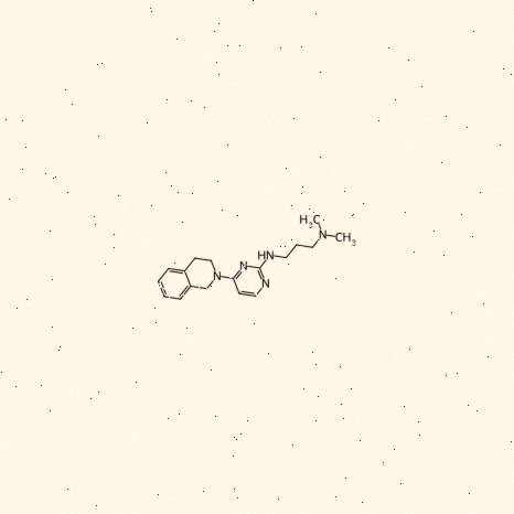 CN(C)CCCNc1nccc(N2CCc3ccccc3C2)n1